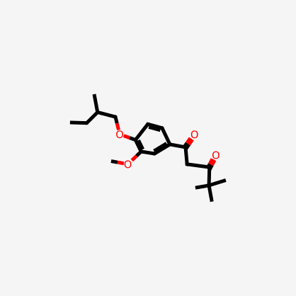 CCC(C)COc1ccc(C(=O)CC(=O)C(C)(C)C)cc1OC